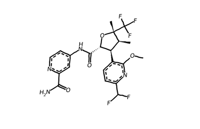 COc1nc(C(F)F)ccc1[C@H]1[C@H](C(=O)Nc2ccnc(C(N)=O)c2)O[C@](C)(C(F)(F)F)[C@H]1C